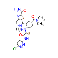 CN(C)C(=O)[C@H]1CC[C@H](NC(=S)C(=O)Nc2ccc(Cl)nn2)[C@H](C2c3sc(C(N)=O)nc3CCN2C)C1